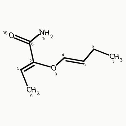 C/C=C(\O/C=C/CC)C(N)=O